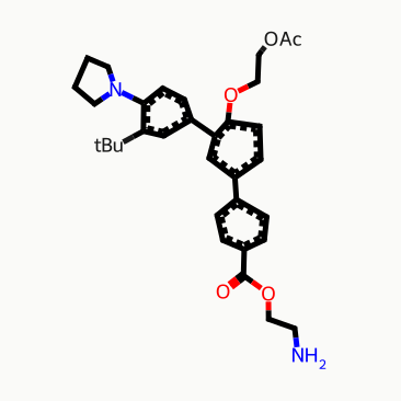 CC(=O)OCCOc1ccc(-c2ccc(C(=O)OCCN)cc2)cc1-c1ccc(N2CCCC2)c(C(C)(C)C)c1